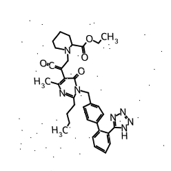 CCCCc1nc(C)c(C(=C=O)CN2CCCCC2C(=O)OCC)c(=O)n1Cc1ccc(-c2ccccc2-c2nnn[nH]2)cc1